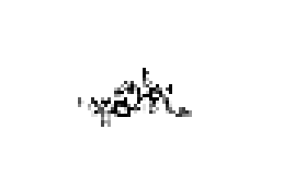 CC(C)(C)CCn1[nH]c(O)c(C2=NP(=O)(O)c3cc(NS(C)(=O)=O)ccc3N2)c1=O